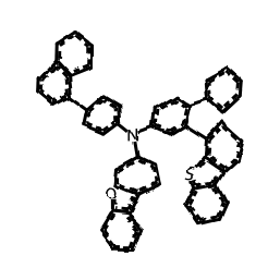 c1ccc(-c2ccc(N(c3ccc(-c4cccc5ccccc45)cc3)c3ccc4c(c3)oc3ccccc34)cc2-c2cccc3c2sc2ccccc23)cc1